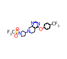 O=S(=O)(N1CCC(N2CCc3c(ncnc3Oc3ccc(C(F)(F)F)cc3)C2)C1)C(F)(F)F